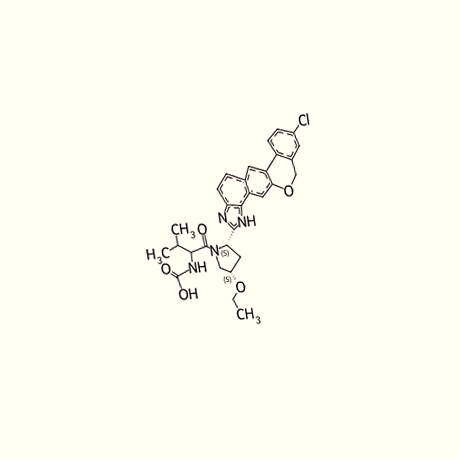 CCO[C@H]1C[C@@H](c2nc3ccc4cc5c(cc4c3[nH]2)OCc2cc(Cl)ccc2-5)N(C(=O)C(NC(=O)O)C(C)C)C1